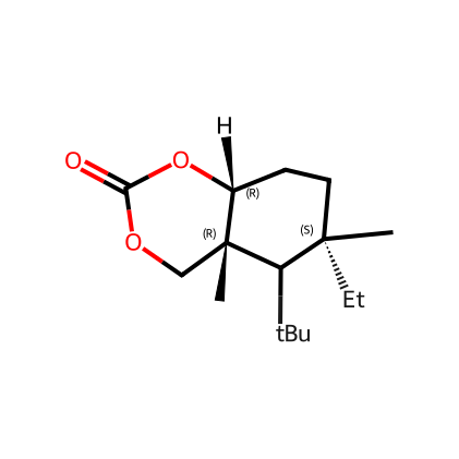 CC[C@@]1(C)CC[C@H]2OC(=O)OC[C@@]2(C)C1C(C)(C)C